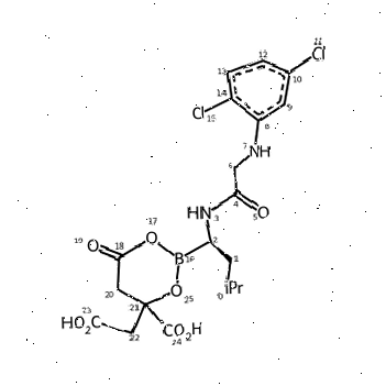 CC(C)C[C@H](NC(=O)CNc1cc(Cl)ccc1Cl)B1OC(=O)CC(CC(=O)O)(C(=O)O)O1